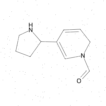 O=CN1C=C(C2CCCN2)C=CC1